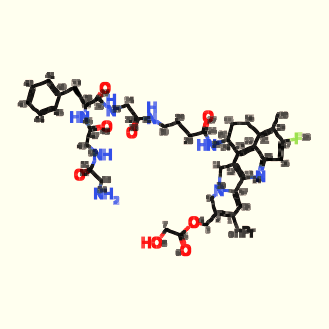 CCCC1=C(COC(=O)CO)CN2Cc3c(nc4cc(F)c(C)c5c4c3[C@@H](NC(=O)CCCNC(=O)CNC(=O)[C@H](Cc3ccccc3)NC(=O)CNC(=O)CN)CC5)C2=C1